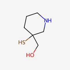 OCC1(S)CCCNC1